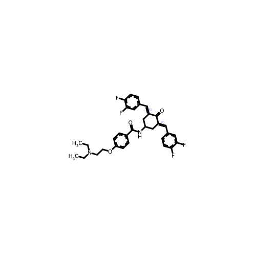 CCN(CC)CCOc1ccc(C(=O)NC2C/C(=C\c3ccc(F)c(F)c3)C(=O)/C(=C/c3ccc(F)c(F)c3)C2)cc1